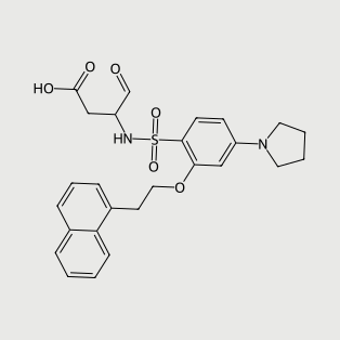 O=CC(CC(=O)O)NS(=O)(=O)c1ccc(N2CCCC2)cc1OCCc1cccc2ccccc12